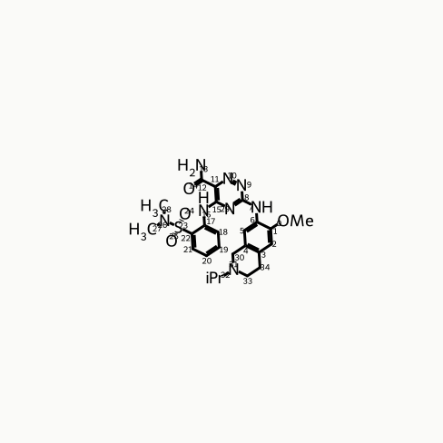 COc1cc2c(cc1Nc1nnc(C(N)=O)c(Nc3ccccc3S(=O)(=O)N(C)C)n1)CN(C(C)C)CC2